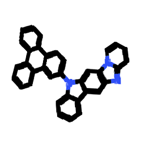 c1ccc2c(c1)c1ccccc1c1cc(-n3c4ccccc4c4cc5nc6ccccn6c5cc43)ccc21